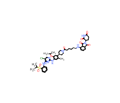 Cc1cc(Nc2ncc(Cl)c(Nc3ccccc3S(=O)(=O)C(C)C)n2)c(OC(C)C)cc1C1CCN(C(=O)CCCCCNc2cccc3c2C(=O)N(C2CCC(=O)NC2=O)C3=O)CC1